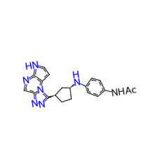 CC(=O)Nc1ccc(N[C@H]2CC[C@@H](c3nnc4cnc5[nH]ccc5n34)C2)cc1